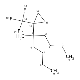 CCCCC(C)(CCCC)C1(C(F)(F)F)CC1